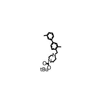 Cc1cccc(-c2ccc(CN3CCN(C(=O)OC(C)(C)C)CC3)c(C)c2)c1